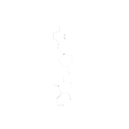 CNC(CC(F)N1CCC(O)(Cc2ccc(Cl)cc2)CC1)C(=O)c1ccccc1